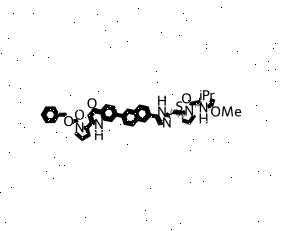 C=C(N[C@H](C(=O)N1CCC[C@]12S[C@H]2c1ncc(-c2ccc3cc(-c4ccc5c(=O)cc(C6CCCN6C(=O)OCc6ccccc6)[nH]c5c4)ccc3c2)[nH]1)C(C)C)OC